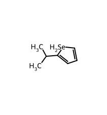 CC(C)C1=CC=C[SeH2]1